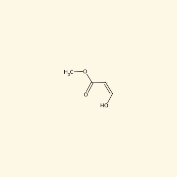 COC(=O)/[C]=C\O